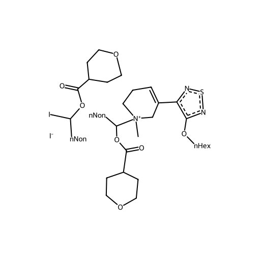 CCCCCCCCCC(I)OC(=O)C1CCOCC1.CCCCCCCCCC(OC(=O)C1CCOCC1)[N+]1(C)CCC=C(c2nsnc2OCCCCCC)C1.[I-]